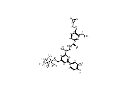 COc1cc(C(=O)NCC(O)c2cc(CO[Si](C)(C)C(C)(C)C)cc(-c3ccc(F)c(Cl)c3)n2)ccc1OCC1CC1